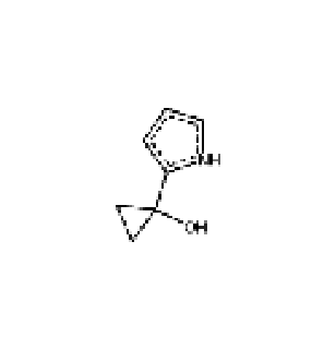 OC1(c2ccc[nH]2)CC1